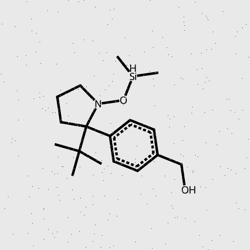 C[SiH](C)ON1CCCC1(c1ccc(CO)cc1)C(C)(C)C